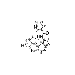 O=C(Nc1c[nH]c2ncc(Br)c(N3CCC4CNCC43)c12)c1cccnc1